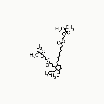 C=C(C)C(=O)OCCOC(=O)CCCCCCCCC1CCC(CC)C(CCC)C1CCC(=O)OCCOC(=O)C(=C)C